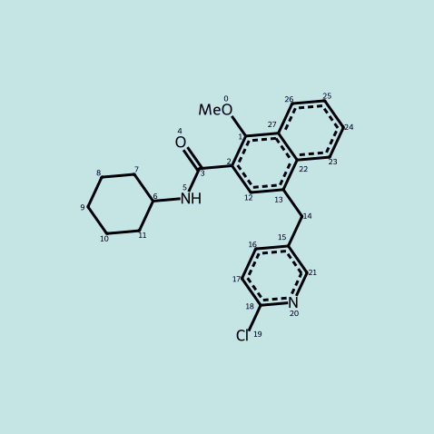 COc1c(C(=O)NC2CCCCC2)cc(Cc2ccc(Cl)nc2)c2ccccc12